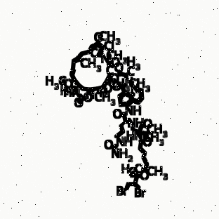 COc1cc2cc(c1Cl)N(C)C(=O)C[C@H](OC(=O)[C@H](C)N(C)C(=O)c1ccc(NC(=O)[C@H](CCCNC(N)=O)NC[C@](C=O)(NC(=O)CCCCC(C)(C)OC(=O)C(CBr)CBr)C(C)C)c3cccnc13)[C@]1(C)O[C@H]1[C@H](C)[C@@H]1C[C@@](O)(NC(=O)O1)[C@H](OC)/C=C/C=C(\C)C2